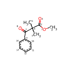 COC(=O)C(C)(C)C(=O)c1ccccc1